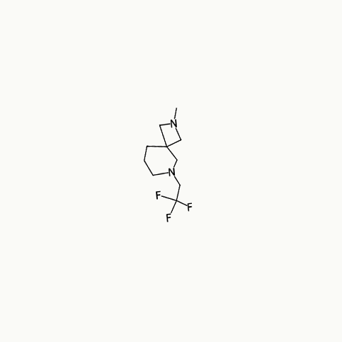 CN1CC2(CCCN(CC(F)(F)F)C2)C1